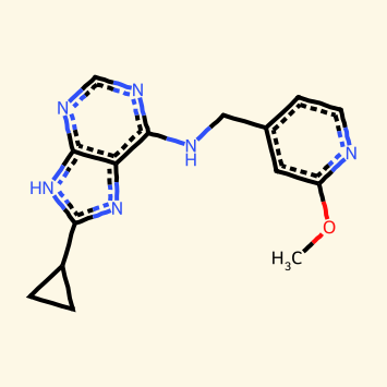 COc1cc(CNc2ncnc3[nH]c(C4CC4)nc23)ccn1